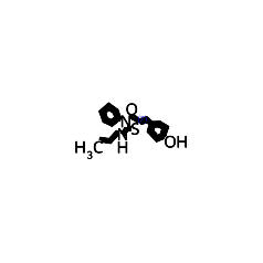 CCCCNC1S/C(=C\c2ccc(O)cc2)C(=O)N1c1ccccc1